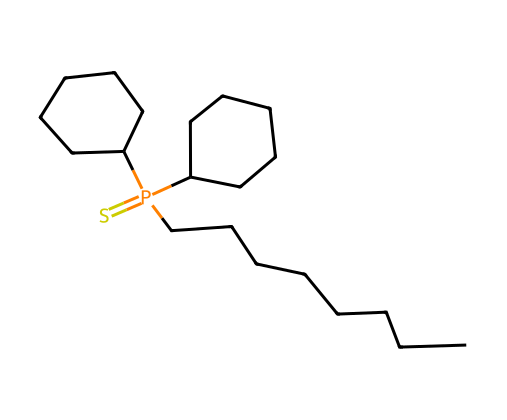 CCCCCCCCP(=S)(C1CCCCC1)C1CCCCC1